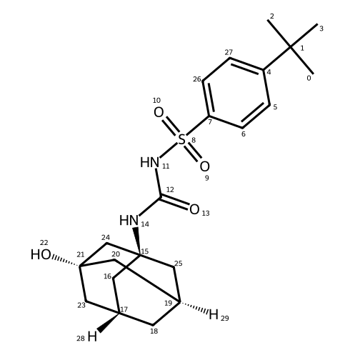 CC(C)(C)c1ccc(S(=O)(=O)NC(=O)N[C@@]23C[C@@H]4C[C@@H](C[C@@](O)(C4)C2)C3)cc1